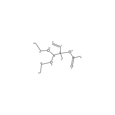 C=CC(C)(OC(C)=O)C(OCC)OCC